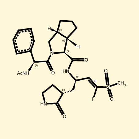 CC(=O)N[C@H](C(=O)N1C[C@@H]2CCC[C@@H]2[C@H]1C(=O)N[C@@H](/C=C(\F)S(C)(=O)=O)C[C@H]1CCNC1=O)c1ccccc1